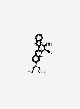 CCN(CC)c1ccc2cc3c(oc2c1)c(C#N)c(=N)n1c2ccccc2nc31